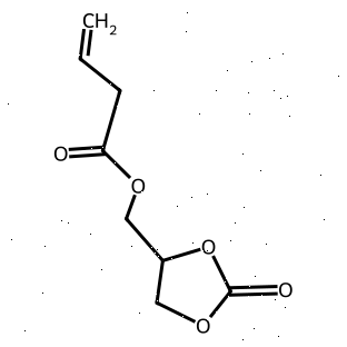 C=CCC(=O)OCC1COC(=O)O1